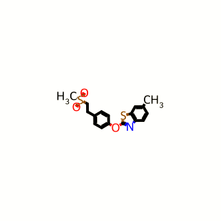 Cc1ccc2nc(Oc3ccc(CCS(C)(=O)=O)cc3)sc2c1